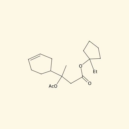 CCC1(OC(=O)CC(C)(OC(C)=O)C2CC=CCC2)CCCC1